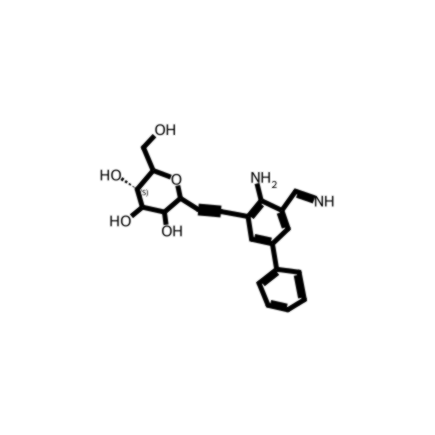 N=Cc1cc(-c2ccccc2)cc(C#CC2OC(CO)[C@@H](O)C(O)C2O)c1N